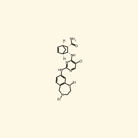 CCN1CCN(CC)c2cc(Nc3ncc(Cl)c(N[C@H]4[C@@H](C(N)=O)[C@@H]5C=C[C@H]4C5)n3)ccc2C1